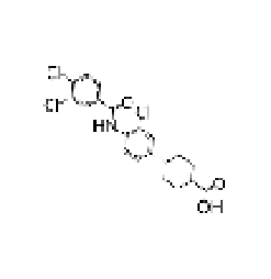 O=C(Nc1ccc([C@H]2CC[C@H](C(=O)O)CC2)cc1Cl)c1ccc(Cl)c(Cl)c1